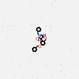 O=C1[C@H]2c3cc(OCc4ccccc4)ccc3CO[C@H]2CN1Cc1ccccc1